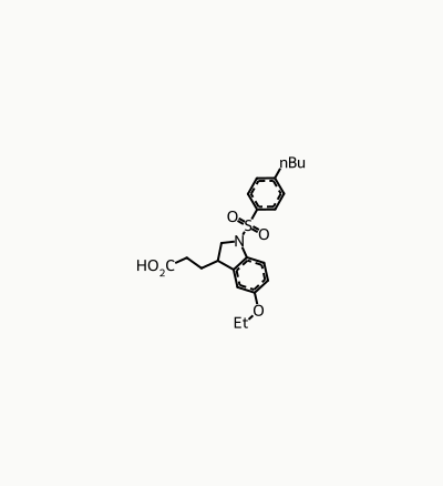 CCCCc1ccc(S(=O)(=O)N2CC(CCC(=O)O)c3cc(OCC)ccc32)cc1